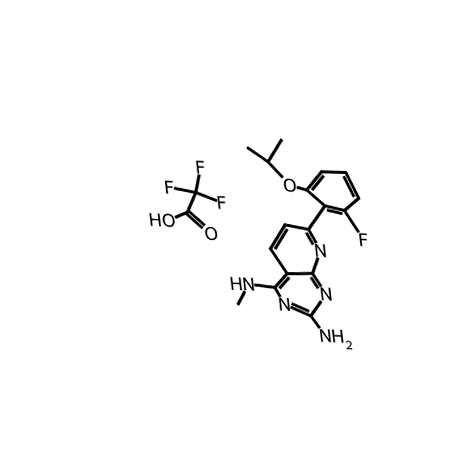 CNc1nc(N)nc2nc(-c3c(F)cccc3OC(C)C)ccc12.O=C(O)C(F)(F)F